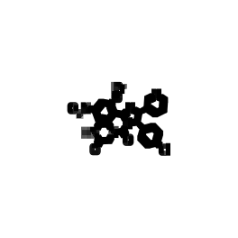 CC(C)Oc1cc([N+](=O)[O-])ccc1C1=N[C@@H](c2cccnc2)[C@@H](c2ccc(Cl)cc2)N1C(=O)N1CCNC(=O)C1